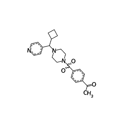 CC(=O)c1ccc(S(=O)(=O)N2CCN(C(c3ccncc3)C3CCC3)CC2)cc1